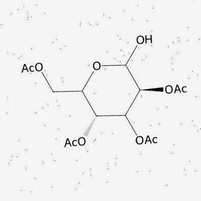 CC(=O)OCC1OC(O)[C@@H](OC(C)=O)C(OC(C)=O)[C@@H]1OC(C)=O